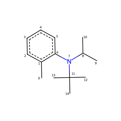 Cc1ccccc1N(C(C)C)C(C)(C)C